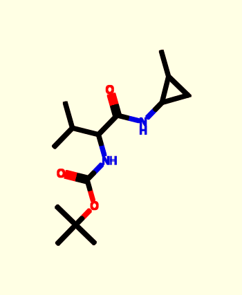 CC(C)C(NC(=O)OC(C)(C)C)C(=O)NC1CC1C